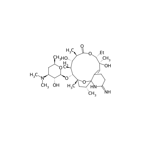 CC[C@H]1OC(=O)[C@H](C)[C@@H](O)[C@H](C)[C@@H](O[C@@H]2O[C@H](C)C[C@H](N(C)C)[C@H]2O)[C@@]2(C)C[C@@H](C)C3(NC(=N)CC/C3=C\[C@]1(C)O)O2